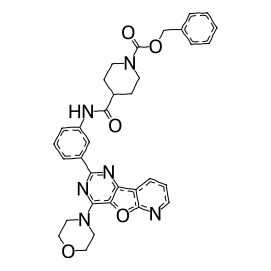 O=C(Nc1cccc(-c2nc(N3CCOCC3)c3oc4ncccc4c3n2)c1)C1CCN(C(=O)OCc2ccccc2)CC1